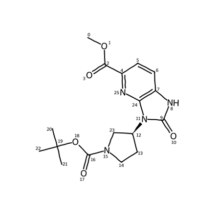 COC(=O)c1ccc2[nH]c(=O)n([C@H]3CCN(C(=O)OC(C)(C)C)C3)c2n1